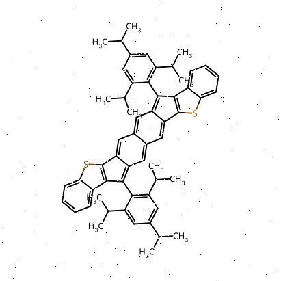 CC(C)c1cc(C(C)C)c(C2=c3cc4cc5c(cc4cc3-c3sc4ccccc4c32)=C(c2c(C(C)C)cc(C(C)C)cc2C(C)C)c2c-5sc3ccccc23)c(C(C)C)c1